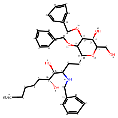 CCCCCCCCCCCCCC[C@@H](O)[C@@H](O)C(CC[C@H]1OC(CO)[C@H](O)[C@H](OCc2ccccc2)C1OCc1ccccc1)NCc1ccccc1